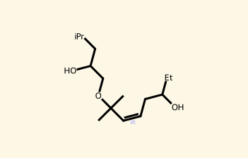 CCC(O)C/C=C\C(C)(C)OCC(O)CC(C)C